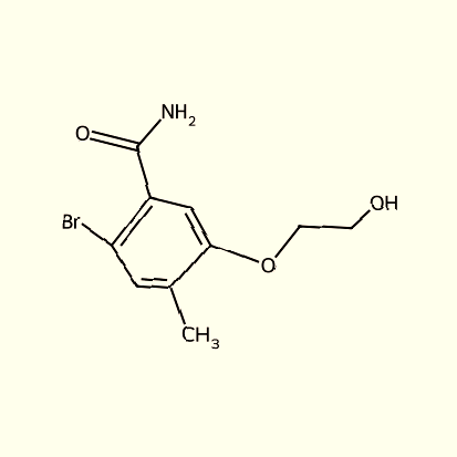 Cc1cc(Br)c(C(N)=O)cc1OCCO